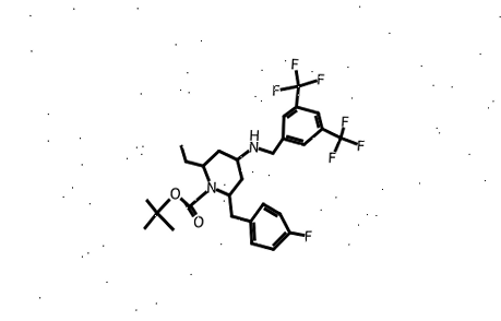 CCC1CC(NCc2cc(C(F)(F)F)cc(C(F)(F)F)c2)CC(Cc2ccc(F)cc2)N1C(=O)OC(C)(C)C